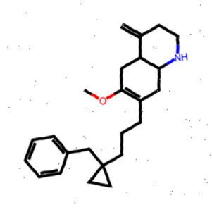 C=C1CCNC2CC(CCCC3(Cc4ccccc4)CC3)=C(OC)CC12